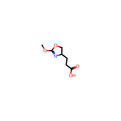 COC1=NC(CCC(=O)O)CO1